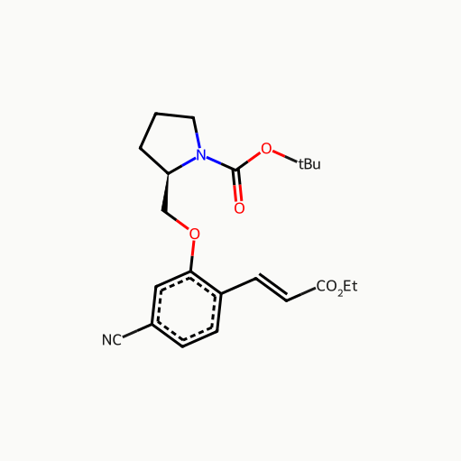 CCOC(=O)C=Cc1ccc(C#N)cc1OC[C@H]1CCCN1C(=O)OC(C)(C)C